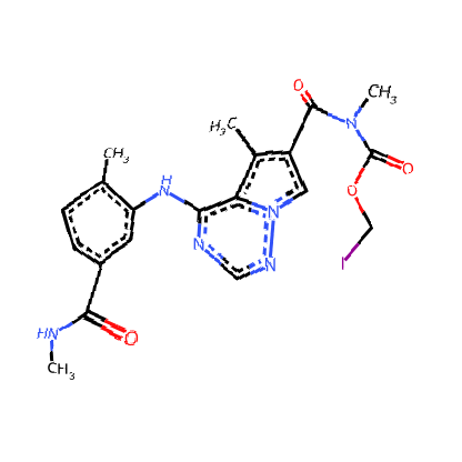 CNC(=O)c1ccc(C)c(Nc2ncnn3cc(C(=O)N(C)C(=O)OCI)c(C)c23)c1